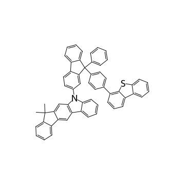 CC1(C)c2ccccc2-c2cc3c4ccccc4n(-c4ccc5c(c4)C(c4ccccc4)(c4ccc(-c6cccc7c6sc6ccccc67)cc4)c4ccccc4-5)c3cc21